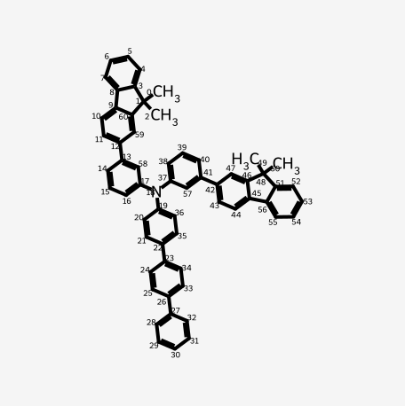 CC1(C)c2ccccc2-c2ccc(-c3cccc(N(c4ccc(-c5ccc(-c6ccccc6)cc5)cc4)c4cccc(-c5ccc6c(c5)C(C)(C)c5ccccc5-6)c4)c3)cc21